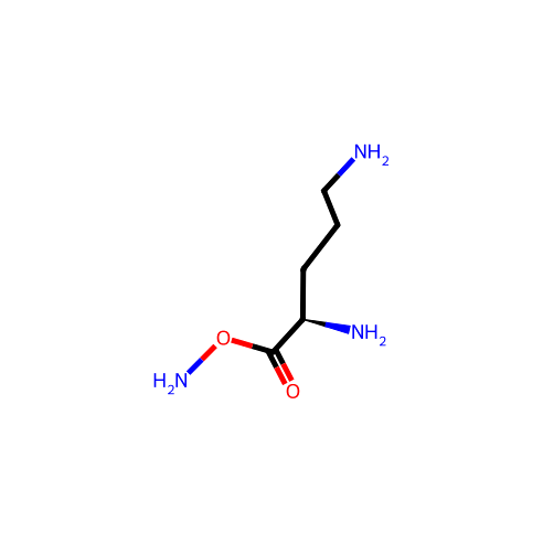 NCCC[C@@H](N)C(=O)ON